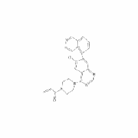 C=CC(=O)N1CCN(c2ncnc3cc(-c4cccc5cnccc45)c(Cl)cc23)CC1